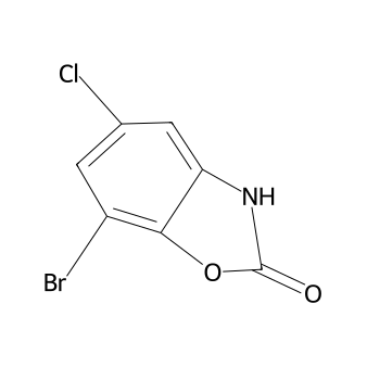 O=c1[nH]c2cc(Cl)cc(Br)c2o1